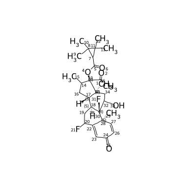 CC(=O)[C@@]1(OC(=O)C2C(C)(C)C2(C)C)C(C)C[C@H]2[C@@H]3CC(F)C4=CC(=O)C=C[C@]4(C)[C@@]3(F)C(O)C[C@@]21C